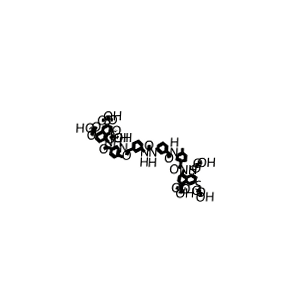 Cc1ccc(C(=O)Nc2ccc(S(=O)(=O)O)c3cc(SOOO)cc(SOOO)c23)cc1NC(=O)c1cccc(NC(=O)Nc2cccc(C(=O)Nc3cc(C(=O)Nc4ccc(S(=O)(=O)O)c5cc(S(=O)(=O)O)cc(S(=O)(=O)O)c45)ccc3C)c2)c1